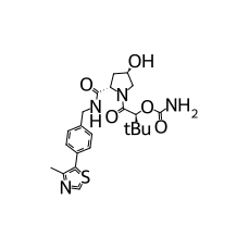 Cc1ncsc1-c1ccc(CNC(=O)[C@@H]2C[C@@H](O)CN2C(=O)[C@@H](OC(N)=O)C(C)(C)C)cc1